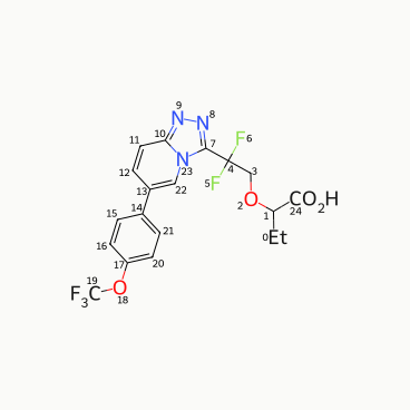 CCC(OCC(F)(F)c1nnc2ccc(-c3ccc(OC(F)(F)F)cc3)cn12)C(=O)O